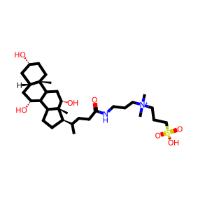 CC(CCC(=O)NCCC[N+](C)(C)CCCS(=O)(=O)O)[C@H]1CCC2C3C(C[C@H](O)[C@@]21C)[C@@]1(C)CC[C@@H](O)C[C@H]1C[C@H]3O